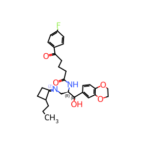 CCCC1CC/C1=N/C[C@@H](NC(=O)CCCC(=O)c1ccc(F)cc1)[C@H](O)c1ccc2c(c1)OCCO2